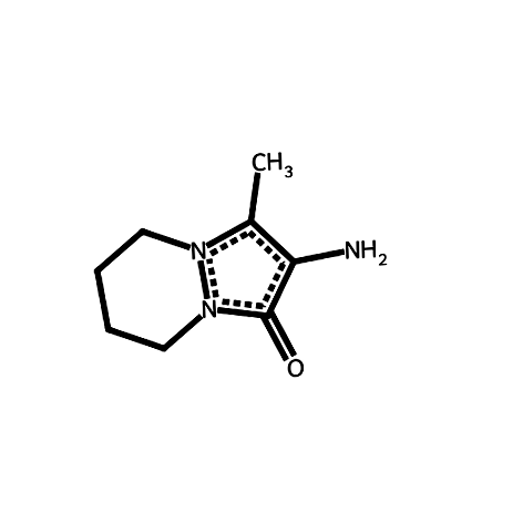 Cc1c(N)c(=O)n2n1CCCC2